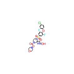 O=C(NO)[C@H]1CN(C(=O)ON2CCOCC2)CCN1S(=O)(=O)c1cc(F)c(Oc2ccc(Cl)cc2)c(F)c1